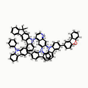 CC1(C)c2ccccc2-c2cc3c4ccccc4n(-c4ccnc5cc(-n6c7ccccc7c7cc(-c8ccc9oc%10ccccc%10c9c8)ccc76)c(-n6c7ccccc7c7ccc(-c8ccc9c(c8)c8ccccc8n9-c8ccccc8)cc76)cc45)c3cc21